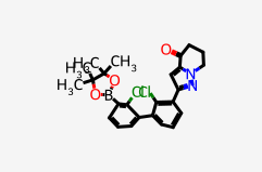 CC1(C)OB(c2cccc(-c3cccc(-c4cc5n(n4)CCCC5=O)c3Cl)c2Cl)OC1(C)C